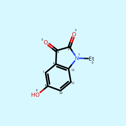 CCN1C(=O)C(=O)c2cc(O)ccc21